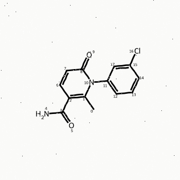 Cc1c(C(N)=O)ccc(=O)n1-c1cccc(Cl)c1